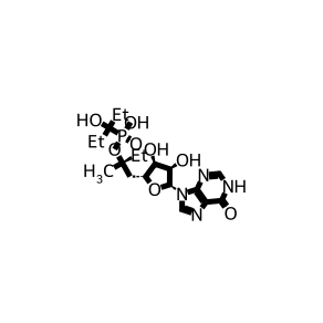 CCC(O)(CC)P(=O)(O)O[C@](C)(CC)C[C@H]1O[C@@H](n2cnc3c(=O)[nH]cnc32)[C@H](O)[C@@H]1O